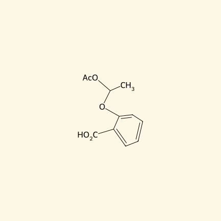 CC(=O)OC(C)Oc1ccccc1C(=O)O